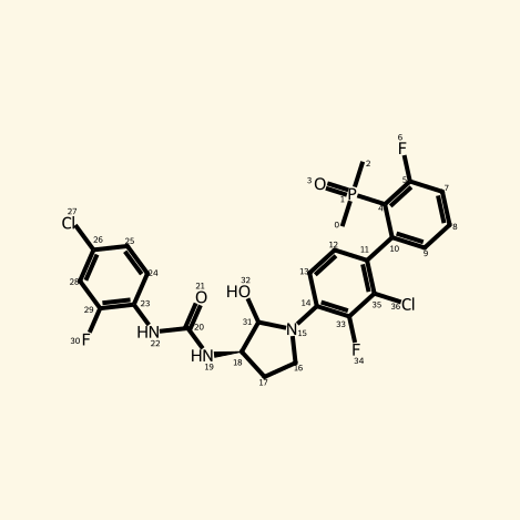 CP(C)(=O)c1c(F)cccc1-c1ccc(N2CC[C@@H](NC(=O)Nc3ccc(Cl)cc3F)C2O)c(F)c1Cl